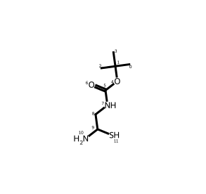 CC(C)(C)OC(=O)NCC(N)S